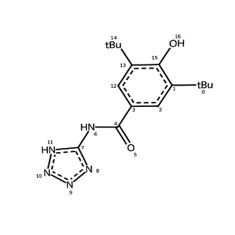 CC(C)(C)c1cc(C(=O)Nc2nnn[nH]2)cc(C(C)(C)C)c1O